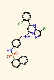 O=S(=O)(Nc1ccc(CNc2cc(-c3ccccc3Cl)nc3c(Br)cnn23)cc1)c1cccc2ccccc12